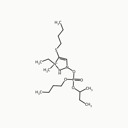 CCCCOP(=O)(OC(C)CC)ON1C=C(SCCCC)[N+](C)(CC)N1